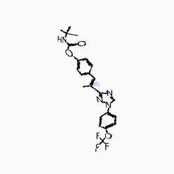 C/C(=C\c1ccc(OC(=O)NC(C)(C)C)cc1)c1ncn(-c2ccc(OC(F)(F)F)cc2)n1